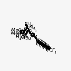 C=CC(C)C(OCc1ccc(OC)c(OC)c1)C(C)C(CCCO[Si](C)(C)C(C)(C)C)OCc1ccc(OCCCC(F)(F)C(F)(F)C(F)(F)C(F)(F)C(F)(F)C(F)(F)C(F)(F)C(F)(F)C(F)(F)C(F)(F)F)cc1